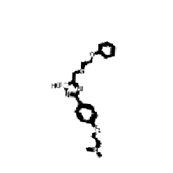 CN(C)CCOc1ccc(-c2noc(CSCCOc3ccccc3)n2)cc1.Cl